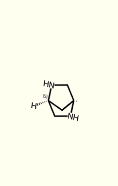 C1N[C@@H]2CN[C]1C2